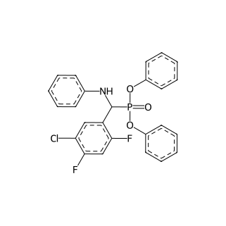 O=P(Oc1ccccc1)(Oc1ccccc1)C(Nc1ccccc1)c1cc(Cl)c(F)cc1F